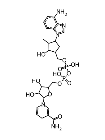 CC1C(O)C(COP(=O)(O)OP(=O)(O)OCC2OC(N3C=CCC(C(N)=O)=C3)C(O)C2O)CC1n1cnc2c(N)cccc21